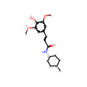 COc1cc(C=CC(=O)N[C@H]2CC[C@H](C)CC2)cc(OC)c1O